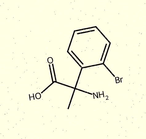 CC(N)(C(=O)O)c1ccccc1Br